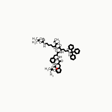 COC(=O)C(CCCCNC(=O)OC(C)(C)C)NC(=O)C(CCC(=O)NC(c1ccccc1)(c1ccccc1)c1ccccc1)NC(=O)C(Cc1ccccc1)NNC(=O)C(Cc1ccccc1)NC(=O)OC(C)(C)C